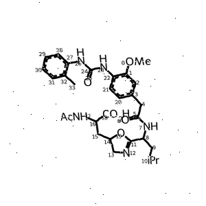 COc1cc(CC(=O)NC(CC(C)C)C2=NCC(CC(NC(C)=O)C(=O)O)O2)ccc1NC(=O)Nc1ccccc1C